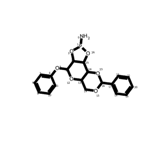 NP1OC2C(Oc3ccccc3)OC3COC(c4ccccc4)OC3C2O1